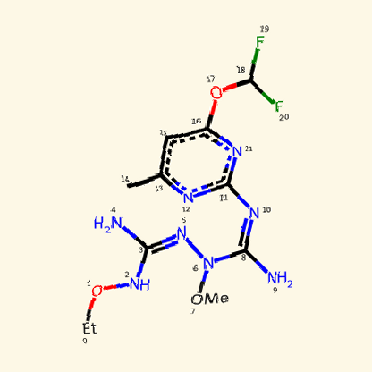 CCONC(N)=NN(OC)C(N)=Nc1nc(C)cc(OC(F)F)n1